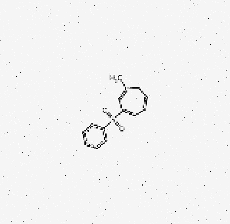 CC1=CC(S(=O)(=O)c2ccccc2)=CC=CC1